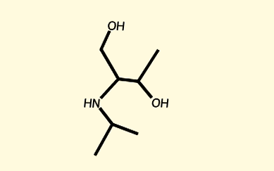 CC(C)NC(CO)C(C)O